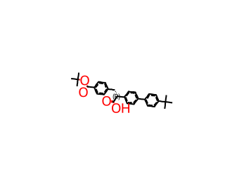 CC(C)(C)OC(=O)c1ccc(C[C@@H](C(=O)O)c2ccc(-c3ccc(C(C)(C)C)cc3)cc2)cc1